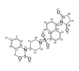 Cc1ccc2c(c1)COC(=O)N2C1CCN(S(=O)(=O)c2cccc3c(N4C(=O)CCC4=O)cccc23)CC1